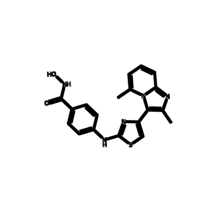 Cc1nc2cccc(C)n2c1-c1csc(Nc2ccc(C(=O)NO)cc2)n1